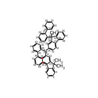 CC1(C)c2ccccc2-c2ccc(N(c3ccc4c(c3)C(C)(c3ccccc3-c3ccccc3)c3ccccc3-4)c3ccccc3-c3ccccc3)cc21